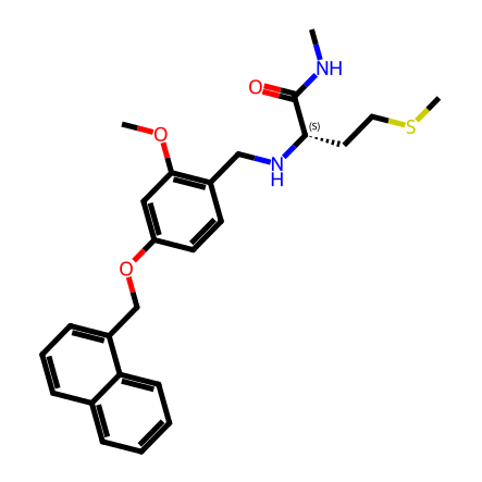 CNC(=O)[C@H](CCSC)NCc1ccc(OCc2cccc3ccccc23)cc1OC